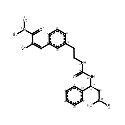 CCN(CC)C(=O)C(C#N)=Cc1cccc(CCNC(=O)N[C@@H](CB(O)O)c2ccccc2)c1